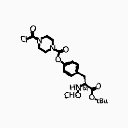 CC(C)(C)OC(=O)[C@H](Cc1ccc(OC(=O)N2CCN(C(=O)Cl)CC2)cc1)NC=O